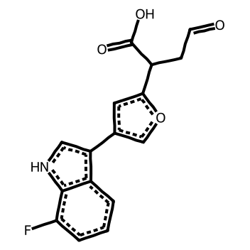 O=CCC(C(=O)O)c1cc(-c2c[nH]c3c(F)cccc23)co1